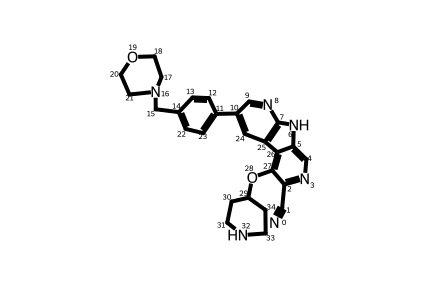 N#Cc1ncc2[nH]c3ncc(-c4ccc(CN5CCOCC5)cc4)cc3c2c1OC1CCNCC1